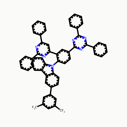 FC(F)(F)c1cc(-c2ccc3c(c2)c2ccccc2n3-c2ccc(-c3nc(-c4ccccc4)nc(-c4ccccc4)n3)cc2-c2cc(-c3ccccc3)nc(-c3ccccc3)n2)cc(C(F)(F)F)c1